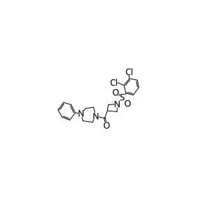 O=C(C1CN(S(=O)(=O)c2cccc(Cl)c2Cl)C1)N1CCN(c2ccccc2)CC1